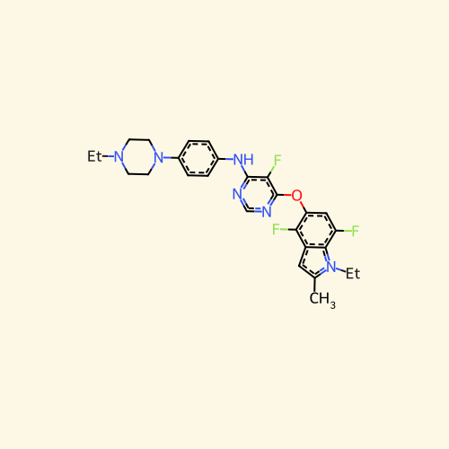 CCN1CCN(c2ccc(Nc3ncnc(Oc4cc(F)c5c(cc(C)n5CC)c4F)c3F)cc2)CC1